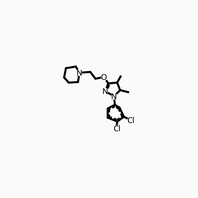 CC1C(OCCN2CCCCC2)=NN(c2ccc(Cl)c(Cl)c2)C1C